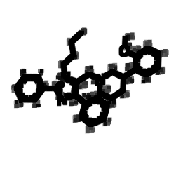 CCCCn1c(-c2ccccc2)nc(-c2ccccc2)c1CN1CCCC(c2ccccc2OC)C1